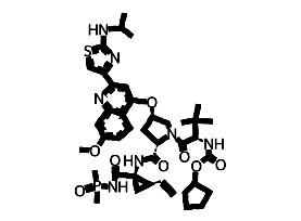 C=C[C@@H]1C[C@]1(NC(=O)[C@@H]1C[C@@H](Oc2cc(-c3csc(NC(C)C)n3)nc3cc(OC)ccc23)CN1C(=O)[C@@H](NC(=O)OC1CCCC1)C(C)(C)C)C(=O)NP(C)(C)=O